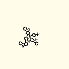 CC(C)(C)c1ccc(N2B3c4cc5c(cc4-n4c6ccc7c(c6c6ccc(c3c64)-c3cc4c(cc32)oc2ccccc24)-c2ccccc2C7(C)C)-c2ccccc2C5(C)C)cc1